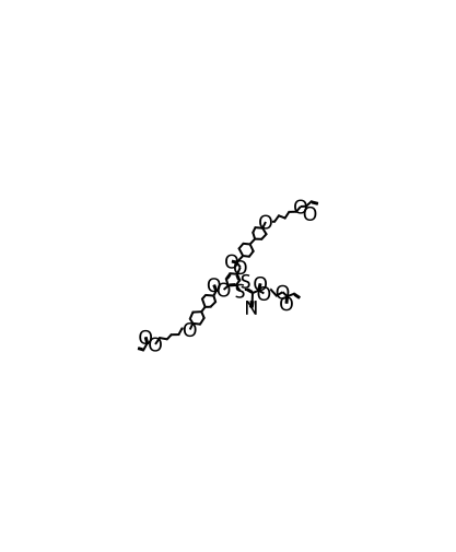 C=CC(=O)OCCCCCOC1CCC(C2CCC(C(=O)Oc3ccc(OC(=O)C4CCC(C5CCC(OCCCCCOC(=O)C=C)CC5)CC4)c4c3SC(=C(C#N)C(=O)OCCOC(=O)C=C)S4)CC2)CC1